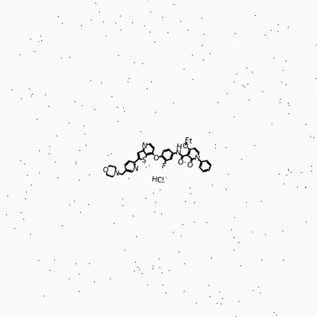 CCOc1ccn(-c2ccccc2)c(=O)c1C(=O)Nc1ccc(Oc2ccnc3cc(-c4ccc(CN5CCOCC5)cn4)sc23)c(F)c1.Cl